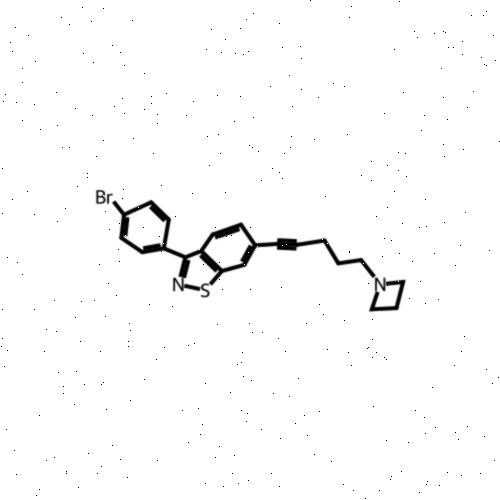 Brc1ccc(-c2nsc3cc(C#CCCCN4CCC4)ccc23)cc1